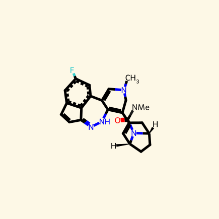 CNC(=O)N1[C@H]2CC[C@@H]1C=C(C1=C3NN=C4C=Cc5cc(F)cc(c54)C3=CN(C)C1)C2